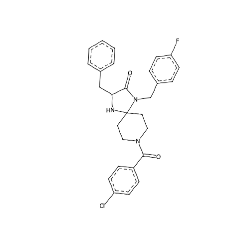 O=C(c1ccc(Cl)cc1)N1CCC2(CC1)NC(Cc1ccccc1)C(=O)N2Cc1ccc(F)cc1